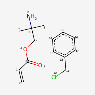 C=CC(=O)OCC(C)(C)N.ClCc1ccccc1